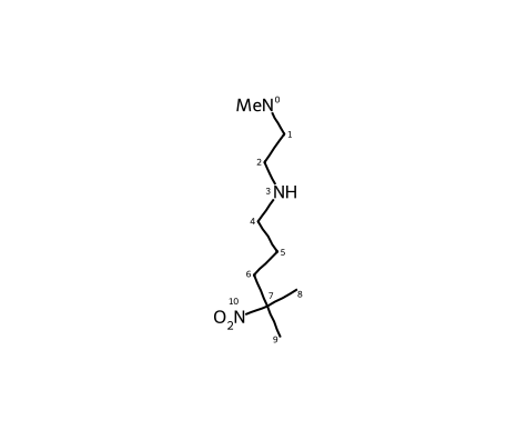 CNCCNCCCC(C)(C)[N+](=O)[O-]